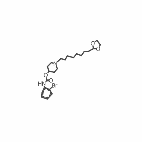 O=C(Nc1ccccc1Br)OC1CCN(CCCCCCCCC2OCCO2)CC1